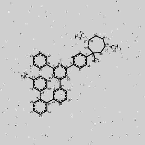 CCC1(c2ccc(-c3nc(-c4ccccc4)nc(-c4cccc(-c5ccccc5-c5cccc(C#N)c5)c4)n3)cc2)C[C@H](C)CC[C@H](C)C1